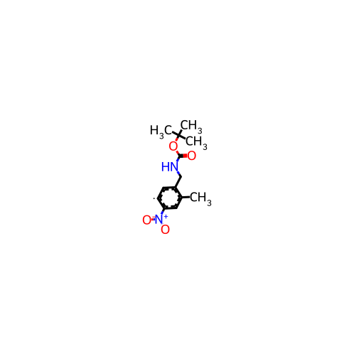 Cc1cc([N+](=O)[O-])[c]cc1CNC(=O)OC(C)(C)C